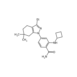 CCc1nn(-c2ccc(C(N)=O)c(NC3CCC3)c2)c2c1CCC(C)(C)C2